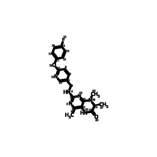 Cc1nc(NCc2ccc(Oc3ccc(F)cc3)nc2)nc2c1NC(=O)[C@H](C)N2C